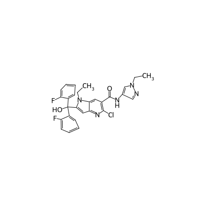 CCn1cc(NC(=O)c2cc3c(cc(C(O)(c4ccccc4F)c4ccccc4F)n3CC)nc2Cl)cn1